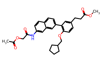 COC(=O)CCc1ccc(OCC2CCCC2)c(-c2ccc3ccc(NC(=O)COC(C)=O)cc3c2)c1